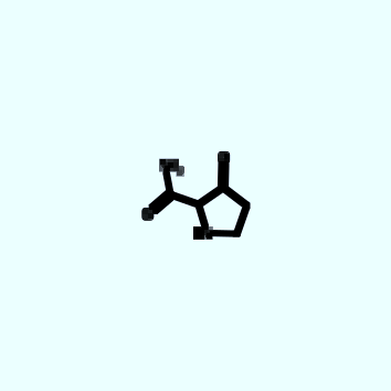 NC(=O)C1NCCC1=O